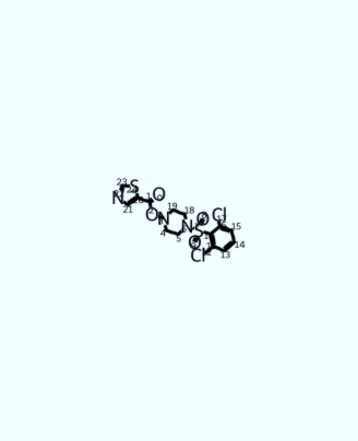 O=C(ON1CCN(S(=O)(=O)c2c(Cl)cccc2Cl)CC1)c1cncs1